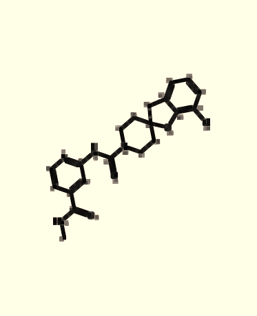 CNC(=O)c1ccnc(NC(=O)N2CCC3(CC2)Cc2cccc(Cl)c2O3)c1